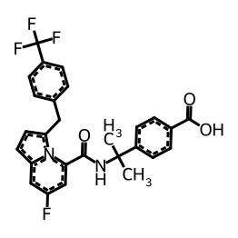 CC(C)(NC(=O)c1cc(F)cc2ccc(Cc3ccc(C(F)(F)F)cc3)n12)c1ccc(C(=O)O)cc1